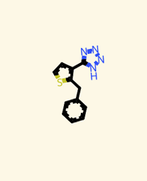 c1ccc(Cc2sccc2-c2nnn[nH]2)cc1